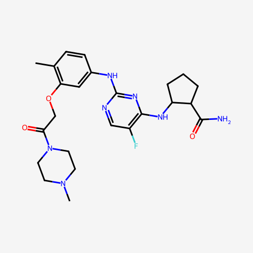 Cc1ccc(Nc2ncc(F)c(NC3CCCC3C(N)=O)n2)cc1OCC(=O)N1CCN(C)CC1